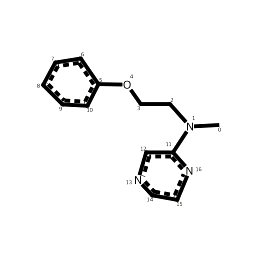 CN(CCOc1ccccc1)c1cnccn1